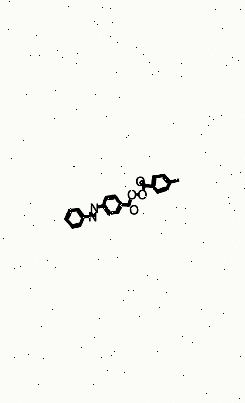 Cc1ccc(C(=O)OOC(=O)c2ccc(/N=N/c3ccccc3)cc2)cc1